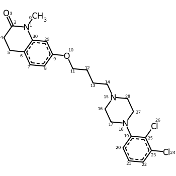 CN1C(=O)CCc2ccc(OCCCCN3CCN(c4cccc(Cl)c4Cl)CC3)cc21